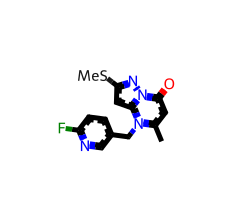 CSc1cc2n(Cc3ccc(F)nc3)c(C)cc(=O)n2n1